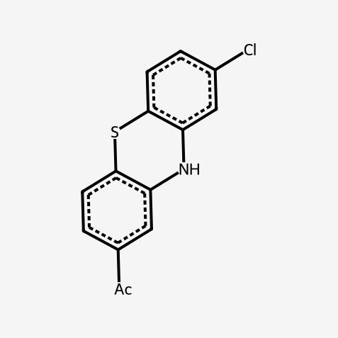 CC(=O)c1ccc2c(c1)Nc1cc(Cl)ccc1S2